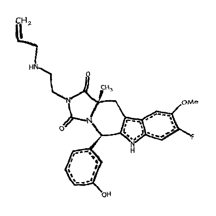 C=CCNCCN1C(=O)N2[C@H](c3cccc(O)c3)c3[nH]c4cc(F)c(OC)cc4c3C[C@@]2(C)C1=O